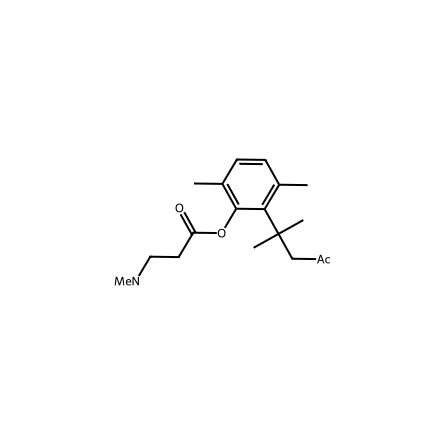 CNCCC(=O)Oc1c(C)ccc(C)c1C(C)(C)CC(C)=O